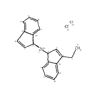 CCC1=C[CH]([Zr+2][CH]2C=Cc3ccccc32)c2ccccc21.[Cl-].[Cl-]